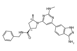 CNc1nc(-c2ccc3c(N)n[nH]c3c2)cc(N2C[C@@H](C(=O)NCc3ccccc3)C[C@H]2C)n1